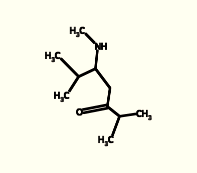 CNC(CC(=O)C(C)C)C(C)C